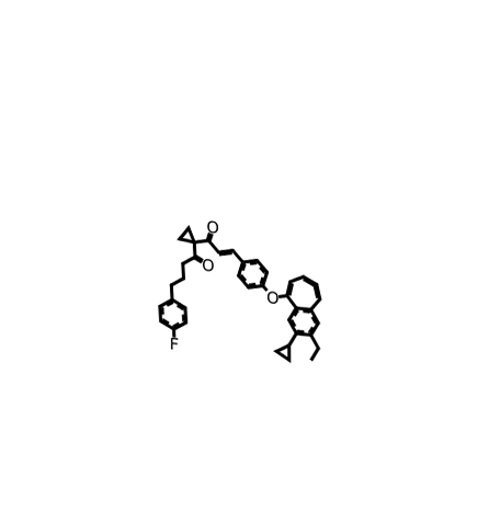 CCc1cc2c(cc1C1CC1)C(Oc1ccc(/C=C/C(=O)C3(C(=O)CCCc4ccc(F)cc4)CC3)cc1)=CC=C=C2